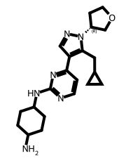 NC1CCC(Nc2nccc(-c3cnn([C@@H]4CCOC4)c3CC3CC3)n2)CC1